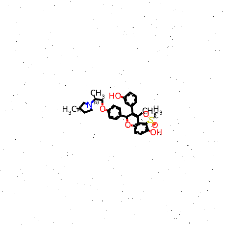 CC1=C(c2cccc(O)c2)C(c2ccc(OC[C@H](C)N3CC[C@@H](C)C3)cc2)Oc2ccc(O)c(S(C)(=O)=O)c21